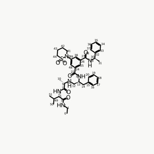 CCNC(=O)[C@@H](NC(=O)[C@H](C)NC[C@H](Cc1ccccc1)NC(=O)c1cc(C(=O)N[C@H](C)c2ccccc2)cc(N2CCCCS2(=O)=O)c1)C(C)C